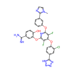 Cn1ccnc1-c1cccc(Oc2nc(Oc3cc(C(=N)N)ccc3O)c(F)c(Oc3ccc(-c4nnn[nH]4)cc3Cl)c2F)c1